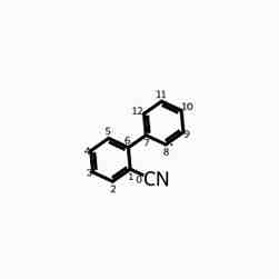 N#Cc1ccccc1-c1[c]cccc1